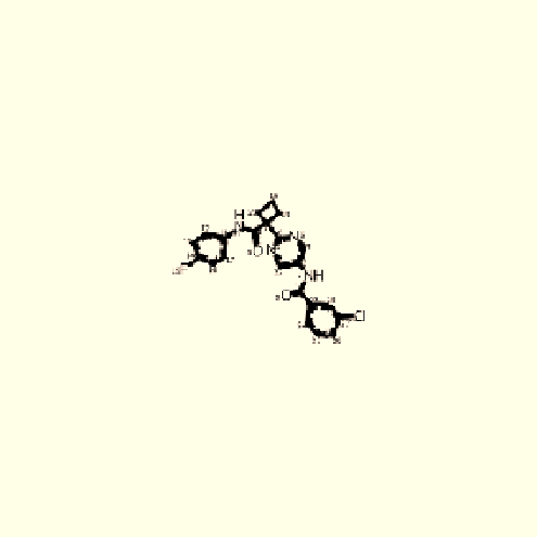 O=C(Nc1cnc(C2(C(=O)Nc3ccc(F)cc3)CCC2)nc1)c1cccc(Cl)c1